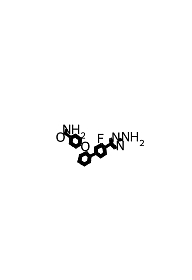 NC(=O)c1ccc(Oc2ccccc2-c2ccc(-c3cnc(N)nc3)c(F)c2)cc1